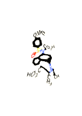 C#CCN(c1ccc(N(CC(=O)O)[S+]([O-])c2ccc(OC)cc2)c2ccccc12)[C@@H](C)CC(=O)O